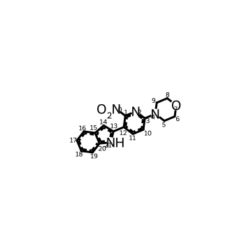 O=[N+]([O-])c1nc(N2CCOCC2)ccc1-c1cc2ccccc2[nH]1